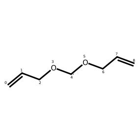 C=CCO[CH]OCC=C